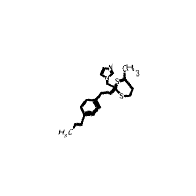 CCCc1ccc(CCC2(Cn3ccnc3)SCCC(C)S2)cc1